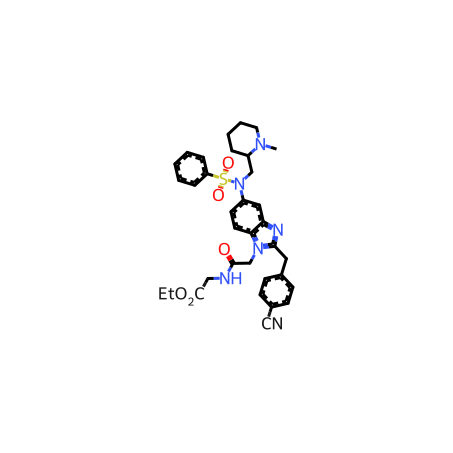 CCOC(=O)CNC(=O)Cn1c(Cc2ccc(C#N)cc2)nc2cc(N(CC3CCCCN3C)S(=O)(=O)c3ccccc3)ccc21